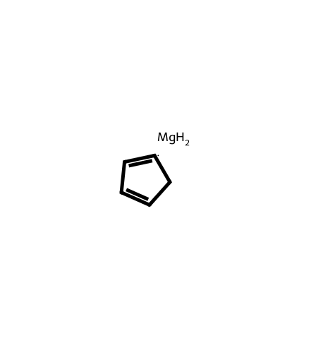 [C]1=CC=CC1.[MgH2]